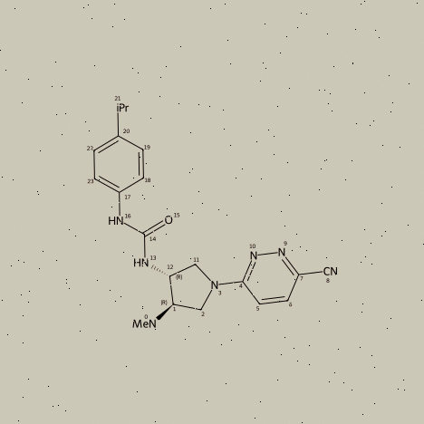 CN[C@@H]1CN(c2ccc(C#N)nn2)C[C@H]1NC(=O)Nc1ccc(C(C)C)cc1